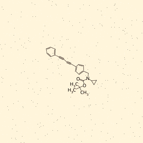 CC(C)(C)OC(=O)N(Cc1ccc(C#CC#Cc2ccccc2)cc1)C1CC1